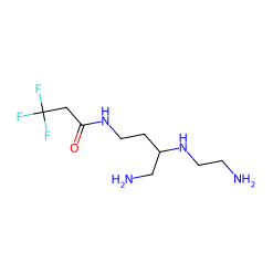 NCCNC(CN)CCNC(=O)CC(F)(F)F